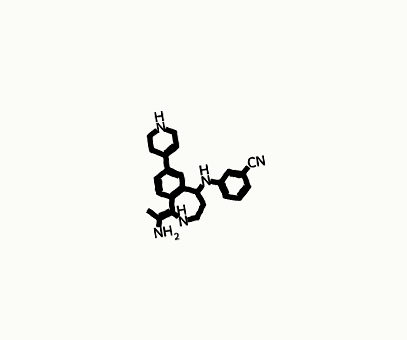 C/C(N)=C1/NCCC(Nc2cccc(C#N)c2)c2cc(C3=CCNCC3)ccc21